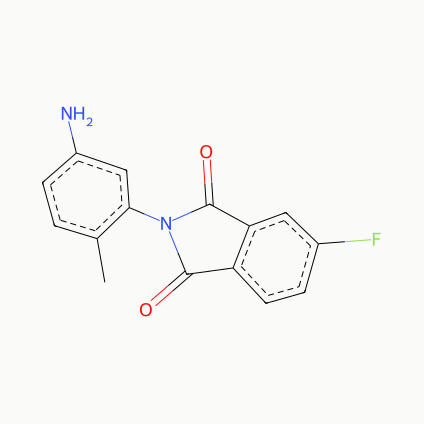 Cc1ccc(N)cc1N1C(=O)c2ccc(F)cc2C1=O